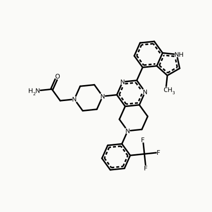 Cc1c[nH]c2cccc(-c3nc4c(c(N5CCN(CC(N)=O)CC5)n3)CN(c3ccccc3C(F)(F)F)CC4)c12